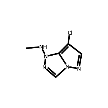 CNn1ncn2ncc(Cl)c12